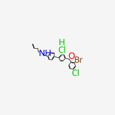 C=CCCNCc1ccc(-c2ccc(C(=O)c3ccc(Cl)cc3Br)cc2)cc1.Cl